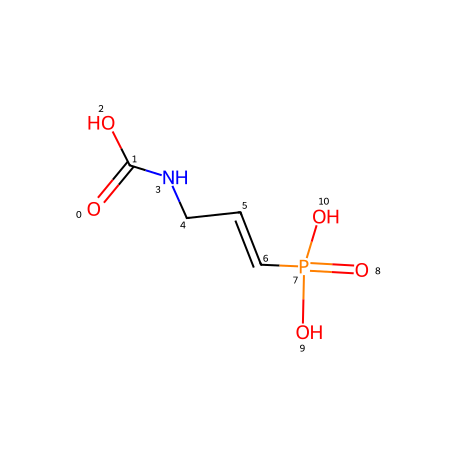 O=C(O)NCC=CP(=O)(O)O